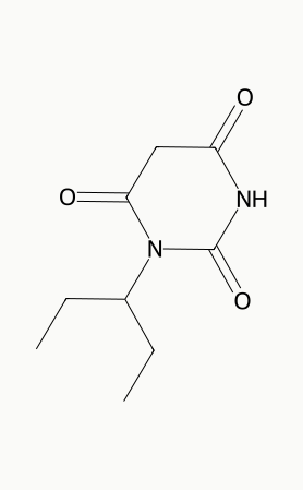 CCC(CC)N1C(=O)CC(=O)NC1=O